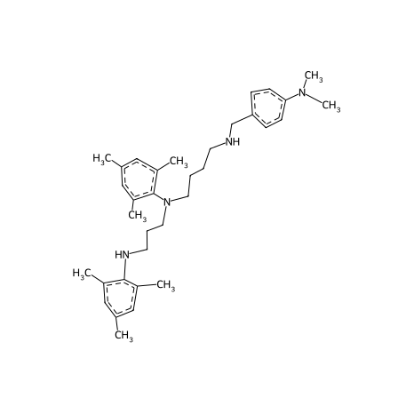 Cc1cc(C)c(NCCCN(CCCCNCc2ccc(N(C)C)cc2)c2c(C)cc(C)cc2C)c(C)c1